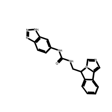 O=C(NCC1c2ccccc2-c2cncn21)Nc1ccc2nn[nH]c2c1